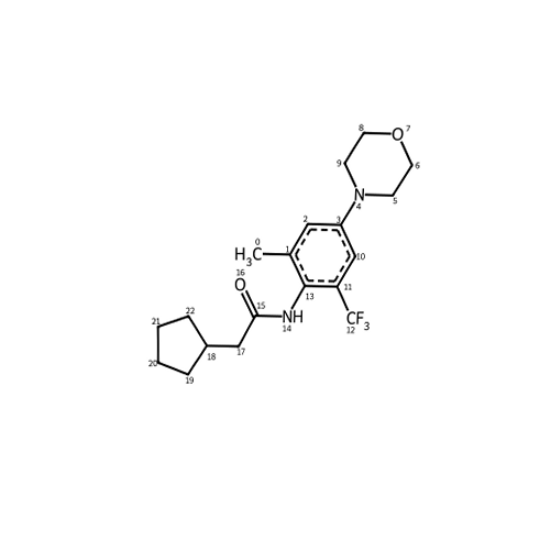 Cc1cc(N2CCOCC2)cc(C(F)(F)F)c1NC(=O)CC1CCCC1